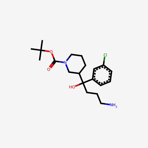 CC(C)(C)OC(=O)N1CCCC(C(O)(CCCN)c2cccc(Cl)c2)C1